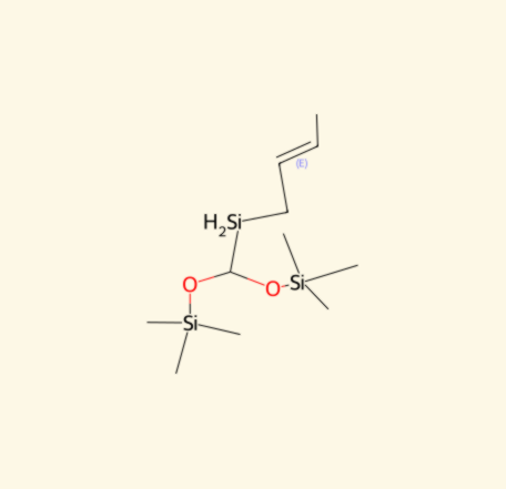 C/C=C/C[SiH2]C(O[Si](C)(C)C)O[Si](C)(C)C